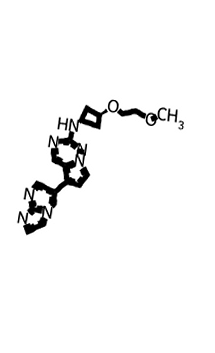 COCCO[C@H]1C[C@@H](Nc2ncc3c(-c4cnc5nccn5c4)ccn3n2)C1